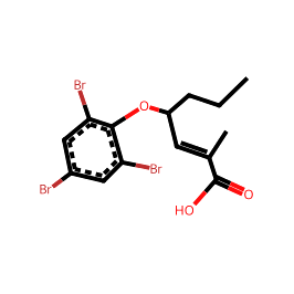 CCCC(C=C(C)C(=O)O)Oc1c(Br)cc(Br)cc1Br